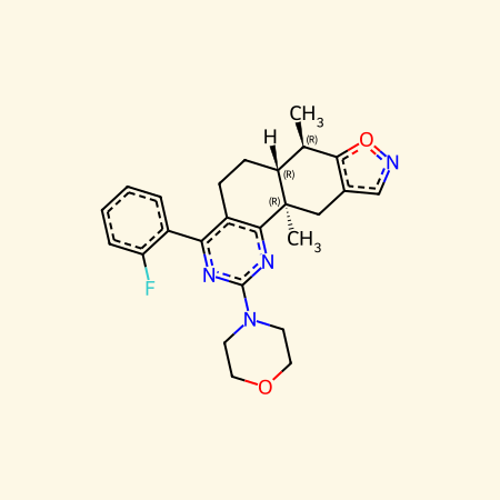 C[C@H]1c2oncc2C[C@@]2(C)c3nc(N4CCOCC4)nc(-c4ccccc4F)c3CC[C@H]12